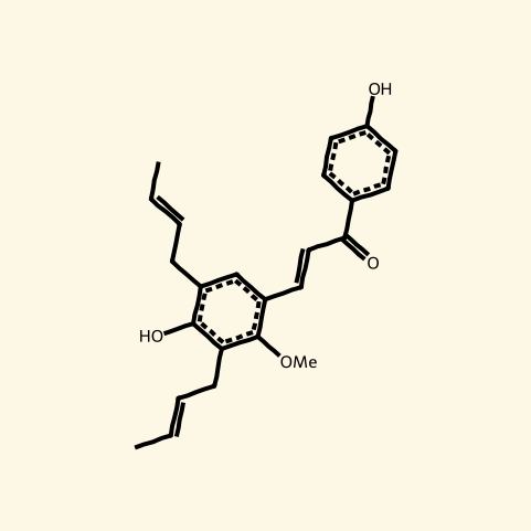 C/C=C/Cc1cc(/C=C/C(=O)c2ccc(O)cc2)c(OC)c(C/C=C/C)c1O